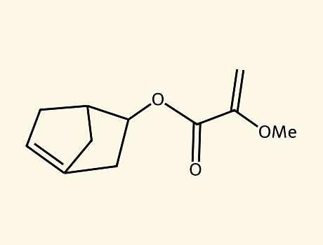 C=C(OC)C(=O)OC1CC2=CCC1C2